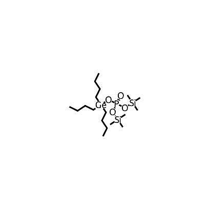 CCC[CH2][Ge]([CH2]CCC)([CH2]CCC)[O]P(=O)(O[Si](C)(C)C)O[Si](C)(C)C